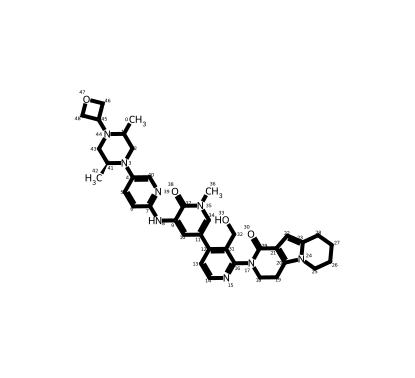 CC1CN(c2ccc(Nc3cc(-c4ccnc(N5CCc6c(cc7n6CCCC7)C5=O)c4CO)cn(C)c3=O)nc2)[C@@H](C)CN1C1COC1